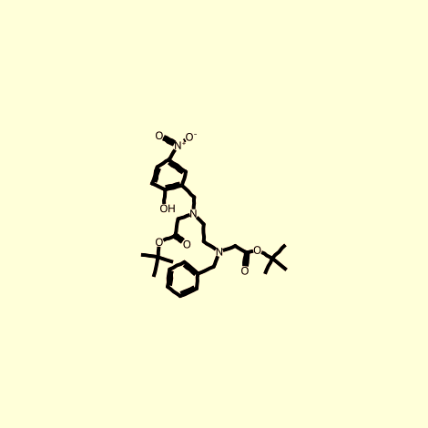 CC(C)(C)OC(=O)CN(CCN(CC(=O)OC(C)(C)C)Cc1cc([N+](=O)[O-])ccc1O)Cc1ccccc1